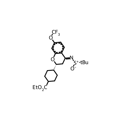 CCOC(=O)C1CCC([C@H]2CC(=N[S@@+]([O-])C(C)(C)C)c3ccc(OC(F)(F)F)cc3O2)CC1